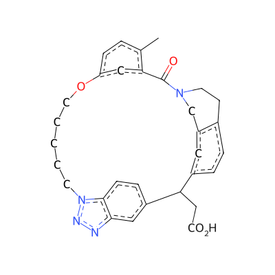 Cc1ccc2cc1C(=O)N1CCc3ccc(cc3C1)C(CC(=O)O)c1ccc3c(c1)nnn3CCCCCO2